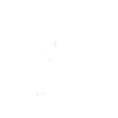 CC(=O)Nc1ccc(-c2csc(NS(=O)(=O)c3ccccc3-c3ccccc3)n2)cc1